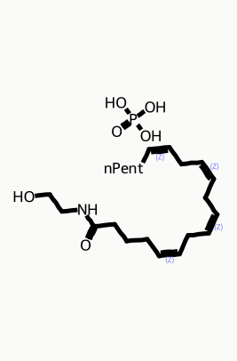 CCCCC/C=C\C/C=C\C/C=C\C/C=C\CCCC(=O)NCCO.O=P(O)(O)O